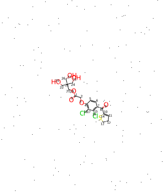 O=C(COc1ccc(C(=O)C2=CCCS2)c(Cl)c1Cl)OCC(CO)(CO)CO